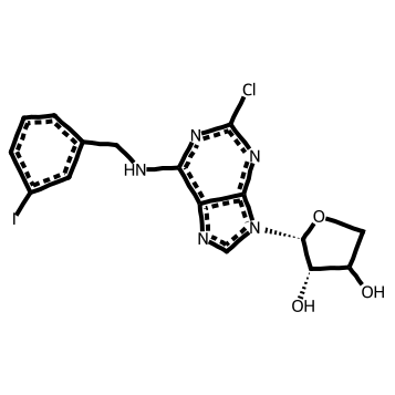 OC1CO[C@@H](n2cnc3c(NCc4cccc(I)c4)nc(Cl)nc32)[C@H]1O